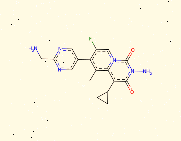 Cc1c(-c2cnc(CN)nc2)c(F)cn2c(=O)n(N)c(=O)c(C3CC3)c12